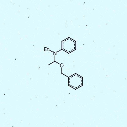 CCN(c1ccccc1)C(C)OCc1ccccc1